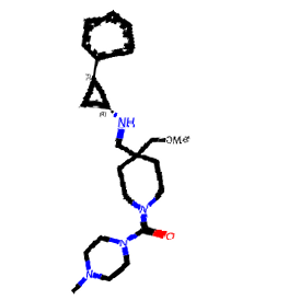 COCC1(CN[C@@H]2C[C@H]2c2ccccc2)CCN(C(=O)N2CCN(C)CC2)CC1